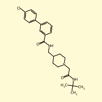 CC(C)(C)NC(=O)CN1CCC(CNC(=O)c2cccc(-c3ccc(Cl)cc3)c2)CC1